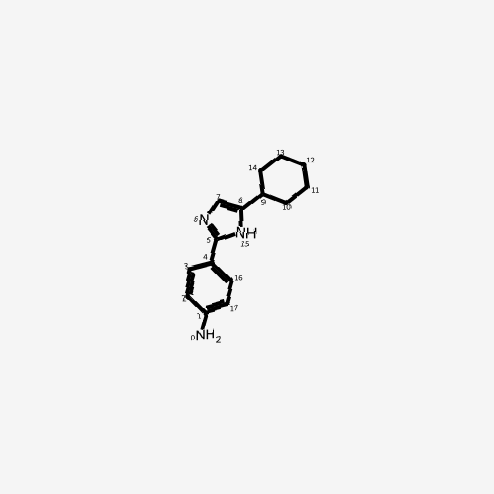 Nc1ccc(-c2ncc(C3CCCCC3)[nH]2)cc1